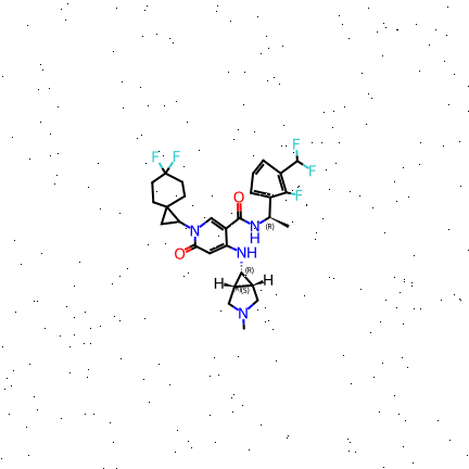 C[C@@H](NC(=O)c1cn(C2CC23CCC(F)(F)CC3)c(=O)cc1N[C@@H]1[C@@H]2CN(C)C[C@@H]21)c1cccc(C(F)F)c1F